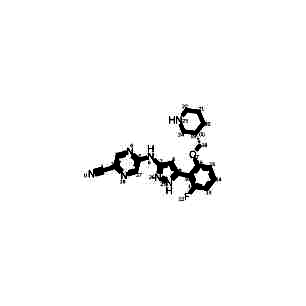 N#Cc1cnc(Nc2cc(-c3c(F)cccc3OC[C@H]3CCCNC3)[nH]n2)cn1